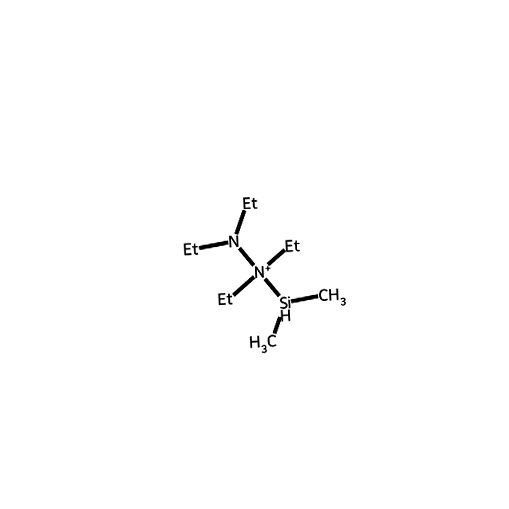 CCN(CC)[N+](CC)(CC)[SiH](C)C